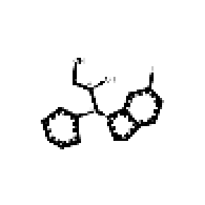 OC[C@@H](O)[C@H](c1ccccc1)n1ccc2ccc(F)cc21